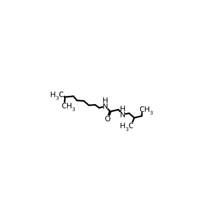 CCC(C)CNCC(=O)NCCCCCCC(C)C